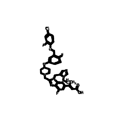 CCn1cncc1Cn1c(CN2CCC(Oc3ccc(F)c(COc4ccc(Cl)cc4F)c3)CC2)nc2c(F)cc(/C(C)=C/C(=O)O)cc21